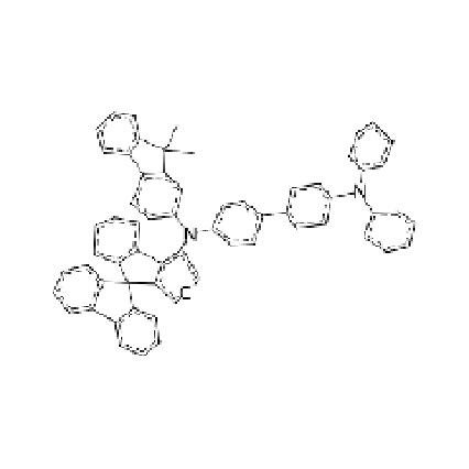 CC1(C)c2ccccc2-c2ccc(N(c3ccc(-c4ccc(N(c5ccccc5)c5ccccc5)cc4)cc3)c3cccc4c3-c3ccccc3C43c4ccccc4-c4ccccc43)cc21